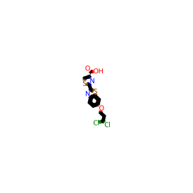 O=C(O)[C@H]1CSC(c2nc3ccc(OCCC(Cl)Cl)cc3s2)=N1